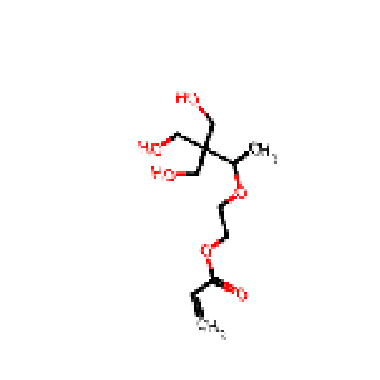 C=CC(=O)OCCOC(C)C(CO)(CO)CO